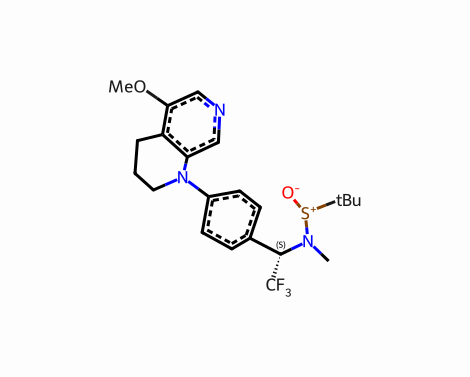 COc1cncc2c1CCCN2c1ccc([C@H](N(C)[S+]([O-])C(C)(C)C)C(F)(F)F)cc1